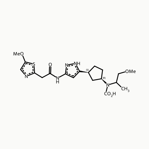 COCC(C)N(C(=O)O)[C@@H]1CC[C@H](c2cc(NC(=O)Cc3ncc(OC)s3)n[nH]2)C1